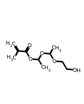 C=C(C)C(=O)OC(C)OC(C)OCCO